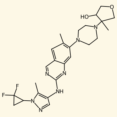 Cc1cc2cnc(Nc3cnn(C4CC4(F)F)c3C)nc2cc1N1CCN(C2(C)COCC2O)CC1